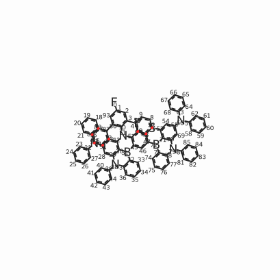 Fc1cc(-c2ccccc2)c(N2c3cc(N(c4ccccc4)c4ccccc4)cc4c3B(c3ccccc3N4c3ccccc3)c3cc4c(c(F)c32)Sc2cc(N(c3ccccc3)c3ccccc3)cc3c2B4c2ccccc2N3c2ccccc2)c(-c2ccccc2)c1